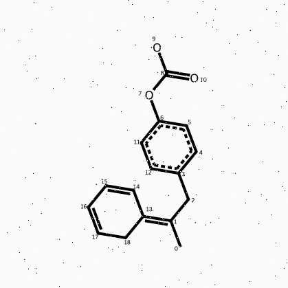 CC(Cc1ccc(OC([O])=O)cc1)=C1C=C[C]=CC1